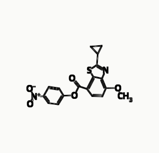 COc1ccc(C(=O)Oc2ccc([N+](=O)[O-])cc2)c2sc(C3CC3)nc12